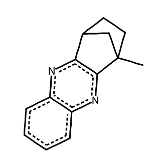 CC12CCC(C1)c1nc3ccccc3nc12